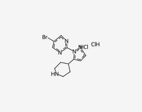 Brc1cnc(-n2nccc2C2CCNCC2)nc1.Cl.Cl